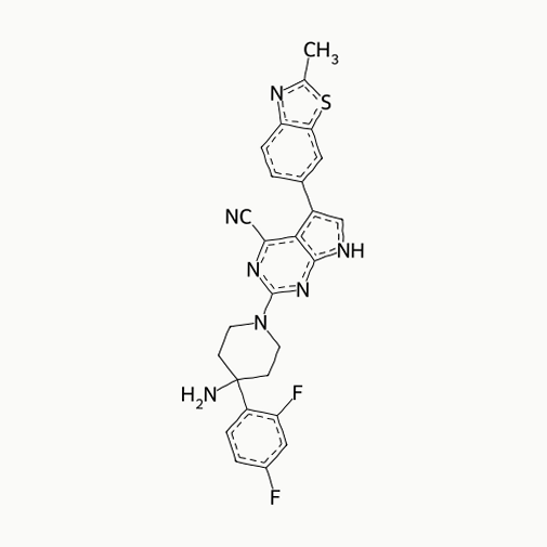 Cc1nc2ccc(-c3c[nH]c4nc(N5CCC(N)(c6ccc(F)cc6F)CC5)nc(C#N)c34)cc2s1